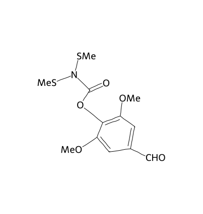 COc1cc(C=O)cc(OC)c1OC(=O)N(SC)SC